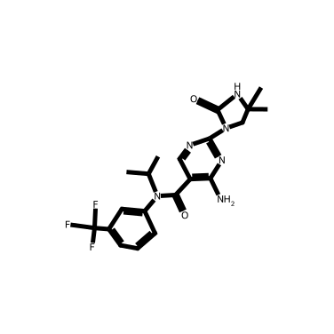 CC(C)N(C(=O)c1cnc(N2CC(C)(C)NC2=O)nc1N)c1cccc(C(F)(F)F)c1